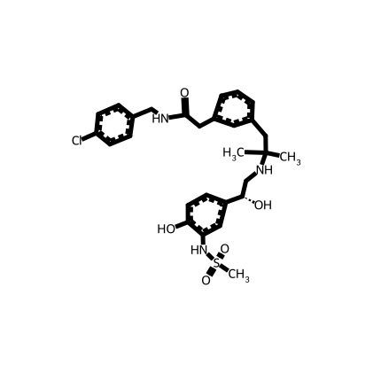 CC(C)(Cc1cccc(CC(=O)NCc2ccc(Cl)cc2)c1)NC[C@H](O)c1ccc(O)c(NS(C)(=O)=O)c1